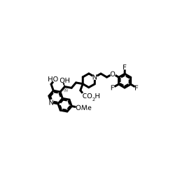 COc1ccc2ncc(CO)c([C@@H](O)CCC3(CC(=O)O)CCN(CCOc4c(F)cc(F)cc4F)CC3)c2c1